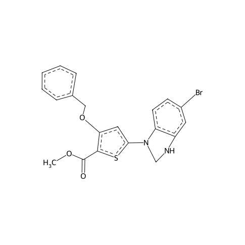 COC(=O)c1sc(N2CNc3cc(Br)ccc32)cc1OCc1ccccc1